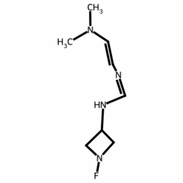 CN(C)/C=C/N=C\NC1CN(F)C1